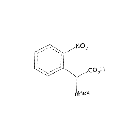 CCCCCCC(C(=O)O)c1ccccc1[N+](=O)[O-]